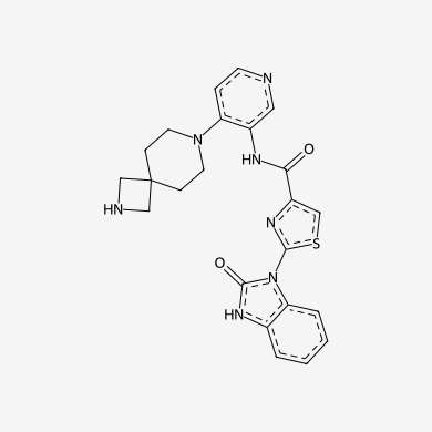 O=C(Nc1cnccc1N1CCC2(CC1)CNC2)c1csc(-n2c(=O)[nH]c3ccccc32)n1